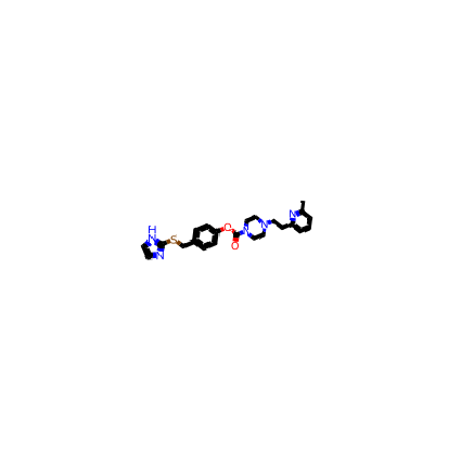 Cc1cccc(CCN2CCN(C(=O)Oc3ccc(CSc4ncc[nH]4)cc3)CC2)n1